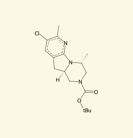 Cc1nc2c(cc1Cl)C[C@@H]1CN(C(=O)OC(C)(C)C)C[C@@H](C)N21